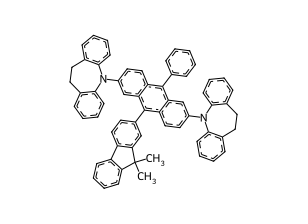 CC1(C)c2ccccc2-c2ccc(-c3c4ccc(N5c6ccccc6CCc6ccccc65)cc4c(-c4ccccc4)c4ccc(N5c6ccccc6CCc6ccccc65)cc34)cc21